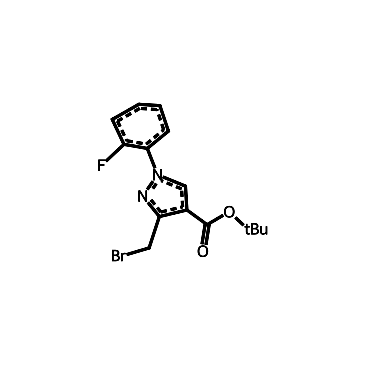 CC(C)(C)OC(=O)c1cn(-c2ccccc2F)nc1CBr